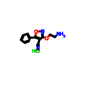 Cl.N#Cc1c(OCCN)noc1-c1ccccc1